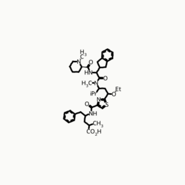 CCOC(CC(C(C)C)N(C)C(=O)C(NC(=O)[C@H]1CCCCN1C)C1Cc2ccccc2C1)c1nc(C(=O)NC(Cc2ccccc2)CC(C)C(=O)O)cs1